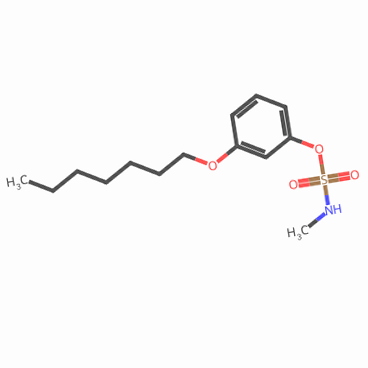 CCCCCCCOc1cccc(OS(=O)(=O)NC)c1